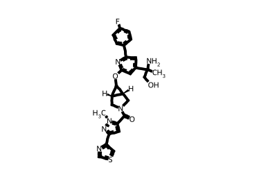 Cn1nc(-c2cscn2)cc1C(=O)N1C[C@@H]2C(Oc3cc(C(C)(N)CO)cc(-c4ccc(F)cc4)n3)[C@@H]2C1